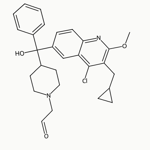 COc1nc2ccc(C(O)(c3ccccc3)C3CCN(CC=O)CC3)cc2c(Cl)c1CC1CC1